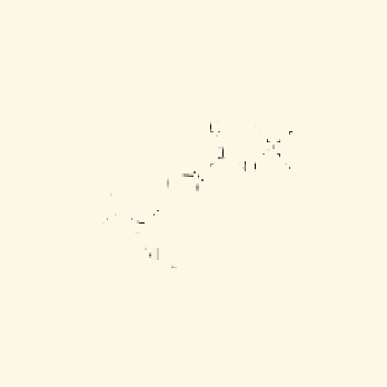 CC(C)[C@@H](N)C1CN(C(=O)OC(C)(C)C)C1